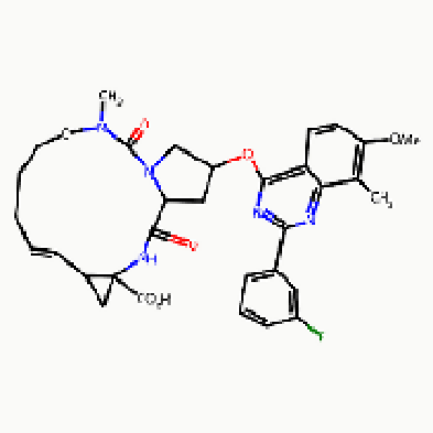 COc1ccc2c(OC3CC4C(=O)NC5(C(=O)O)CC5/C=C/CCCCN(C)C(=O)N4C3)nc(-c3cccc(F)c3)nc2c1C